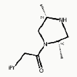 CC(C)CC(=O)N1C[C@H](C)NC[C@@H]1C